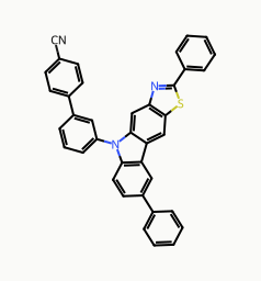 N#Cc1ccc(-c2cccc(-n3c4ccc(-c5ccccc5)cc4c4cc5sc(-c6ccccc6)nc5cc43)c2)cc1